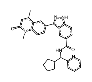 Cc1cc(=O)n(C)c2ccc(-c3n[nH]c4ccc(C(=O)NC(c5ccccn5)C5CCCC5)cc34)cc12